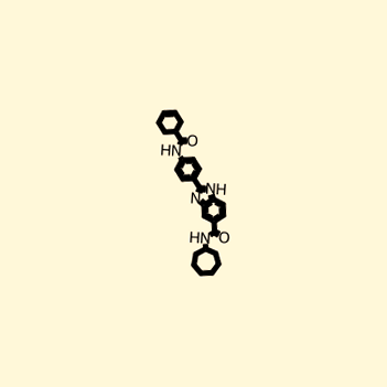 O=C(NC1CCCCCC1)c1ccc2[nH]c(-c3ccc(NC(=O)C4CC=CCC4)cc3)nc2c1